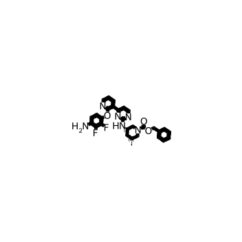 C[C@@H]1C[C@H](Nc2nccc(-c3cccnc3Oc3ccc(N)c(F)c3F)n2)CN(C(=O)OCc2ccccc2)C1